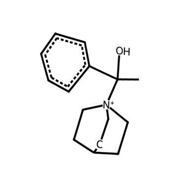 CC(O)(c1ccccc1)[N+]12CCC(CC1)CC2